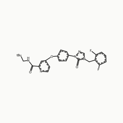 CC(C)(C)CNC(=O)c1cc(Oc2ccc(-n3ncn(Cc4c(F)cccc4F)c3=O)cc2)ccn1